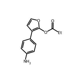 CCC(=O)Oc1occc1-c1ccc(N)cc1